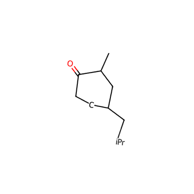 CC(C)CC1CCC(=O)C(C)C1